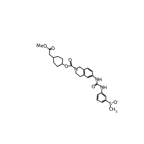 COC(=O)CC1CCC(OC(=O)N2CCc3cc(NC(=O)Nc4cccc([S+](C)[O-])c4)ccc3C2)CC1